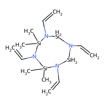 C=CN1[SiH2]N(C=C)[Si](C)(C)N(C=C)[Si](C)(C)N(C=C)[SiH2]1